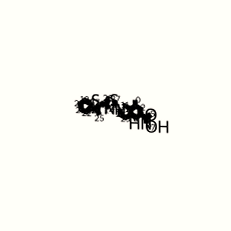 Cc1cc(C(=O)NO)cc2c1CN(c1nc(-c3sc4ccccc4c3C)cs1)CC2